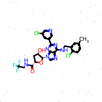 Cc1ccc(Cl)c(CNc2nc(-c3cncc(Cl)c3)nc3c2ncn3[C@@H]2O[C@H](C(=O)NCC(F)(F)F)C[C@H]2O)c1